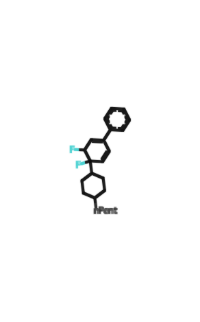 CCCCCC1CCC(C2(F)C=CC(c3ccccc3)=CC2F)CC1